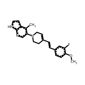 COc1ccc(C=CC2=CCN(c3cnc4[nH]ccc4c3C)CC2)cc1F